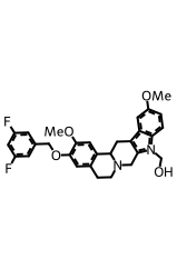 COc1ccc2c(c1)c1c(n2CO)CN2CCc3cc(OCc4cc(F)cc(F)c4)c(OC)cc3C2C1